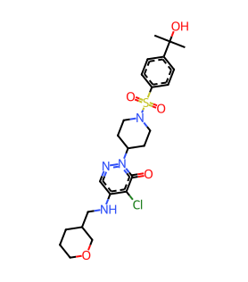 CC(C)(O)c1ccc(S(=O)(=O)N2CCC(n3ncc(NCC4CCCOC4)c(Cl)c3=O)CC2)cc1